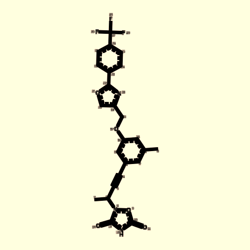 Cc1cc(C#CC(C)n2oc(=O)[nH]c2=O)cc(OCc2coc(-c3ccc(C(F)(F)F)cc3)n2)c1